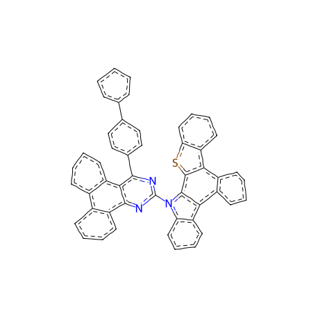 c1ccc(-c2ccc(-c3nc(-n4c5ccccc5c5c6ccccc6c6c7ccccc7sc6c54)nc4c5ccccc5c5ccccc5c34)cc2)cc1